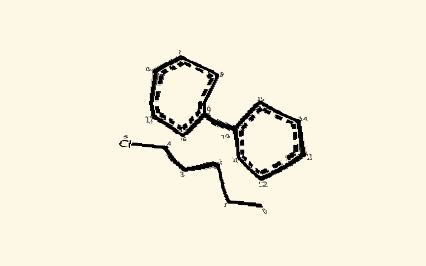 CCCCCCl.c1ccc(-c2ccccc2)cc1